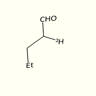 [2H]C(C=O)CCC